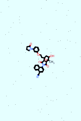 CC12OC(CCOc3cccc(N4CCCC4=O)c3)(CC1O)C1C(=O)N(c3ccc(C#N)c4ccccc34)C(=O)C12